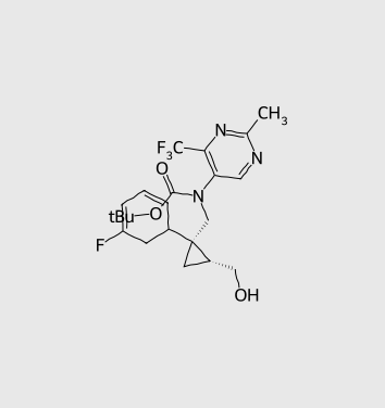 Cc1ncc(N(C[C@@]2(C3C=CC=C(F)C3)C[C@H]2CO)C(=O)OC(C)(C)C)c(C(F)(F)F)n1